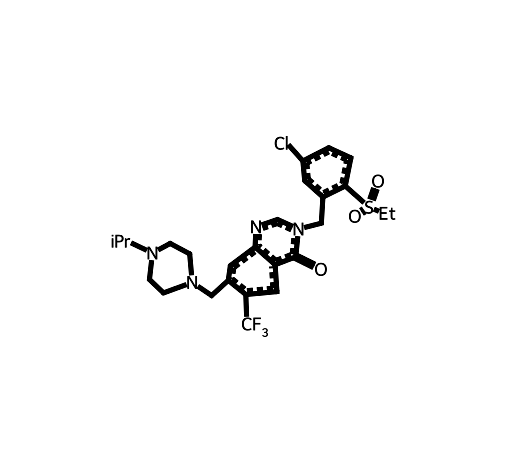 CCS(=O)(=O)c1ccc(Cl)cc1Cn1cnc2cc(CN3CCN(C(C)C)CC3)c(C(F)(F)F)cc2c1=O